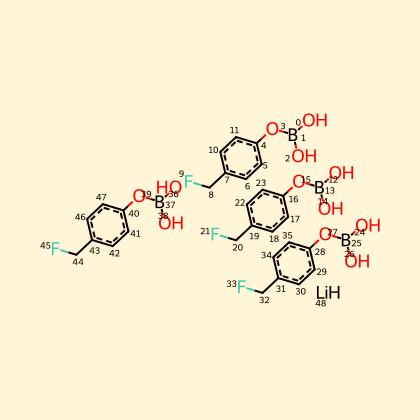 OB(O)Oc1ccc(CF)cc1.OB(O)Oc1ccc(CF)cc1.OB(O)Oc1ccc(CF)cc1.OB(O)Oc1ccc(CF)cc1.[LiH]